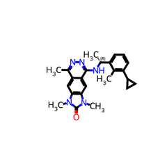 Cc1c(C2CC2)cccc1[C@@H](C)Nc1nnc(C)c2cc3c(cc12)n(C)c(=O)n3C